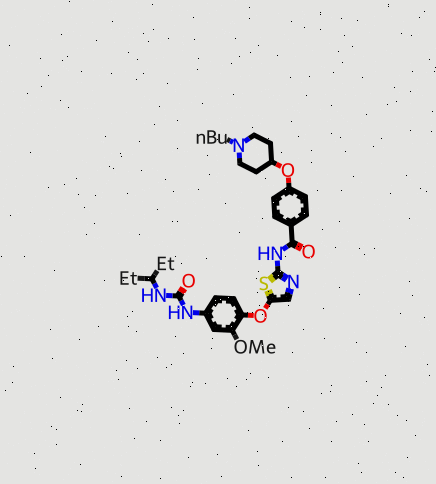 CCCCN1CCC(Oc2ccc(C(=O)Nc3ncc(Oc4ccc(NC(=O)NC(CC)CC)cc4OC)s3)cc2)CC1